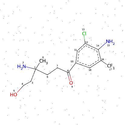 CC(N)(CCO)CCC(=O)c1cc(Cl)c(N)c(C(F)(F)F)c1